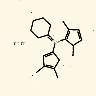 CC1=C(C)C[C]([Zr+2]([C]2=C(C)C=CC2C)=[C]2CCCCC2)=C1.[Cl-].[Cl-]